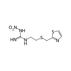 N=C(NCCSCc1nccs1)N[N+](=O)[O-]